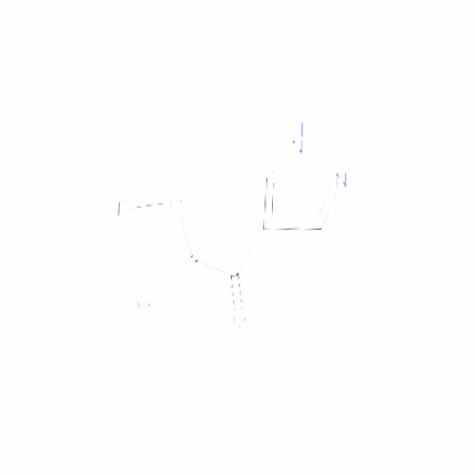 CCOC(=O)C(=O)c1cn[nH]c1